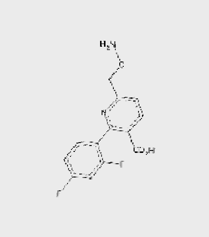 NOCc1ccc(C(=O)O)c(-c2ccc(F)cc2F)n1